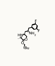 C[C@@H]1N[C@@H](C[C@@H](N)Cc2cc(F)cc(F)c2)CO[C@H]1OCC(C)(C)C